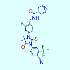 CC1(C)C(=O)N(c2ccc(C#N)c(C(F)(F)F)c2)C(=S)N1c1ccc(CNC(=O)c2ccncc2)c(F)c1